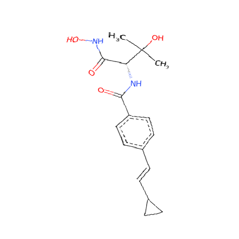 CC(C)(O)[C@H](NC(=O)c1ccc(/C=C/C2CC2)cc1)C(=O)NO